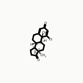 CCC1=CC(=O)C=C2CC[C@@H]3[C@H](CC[C@]4(C)C(=O)CC[C@@H]34)[C@@]12C